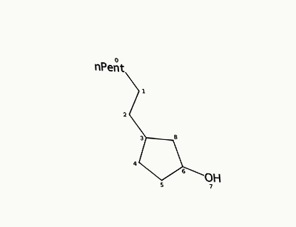 CCCCCCCC1CCC(O)C1